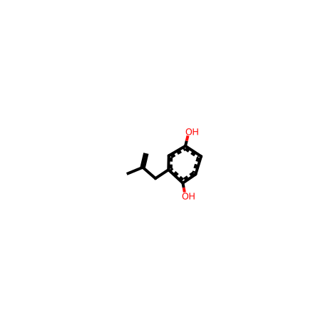 C=C(C)Cc1cc(O)ccc1O